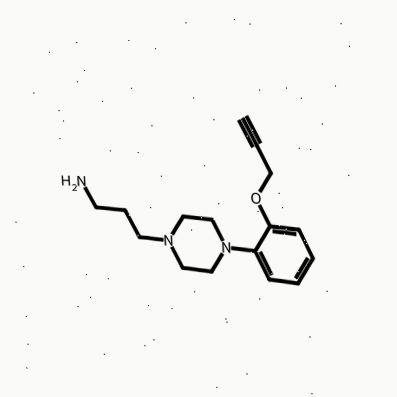 C#CCOc1ccccc1N1CCN(CCCN)CC1